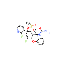 NC1=NC2(CCO1)C1=CC(OS(=O)(=O)C(F)(F)F)(c3cccnc3F)C=C(F)C1Oc1ccccc12